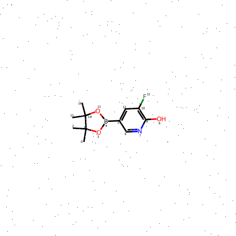 CC1(C)OB(c2cnc(O)c(F)c2)OC1(C)C